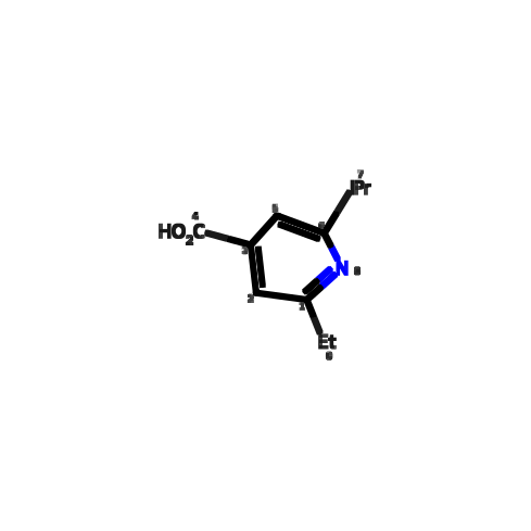 CCc1cc(C(=O)O)cc(C(C)C)n1